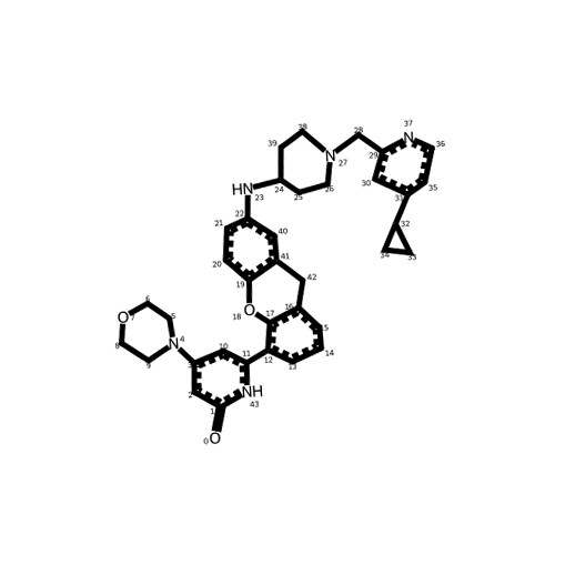 O=c1cc(N2CCOCC2)cc(-c2cccc3c2Oc2ccc(NC4CCN(Cc5cc(C6CC6)ccn5)CC4)cc2C3)[nH]1